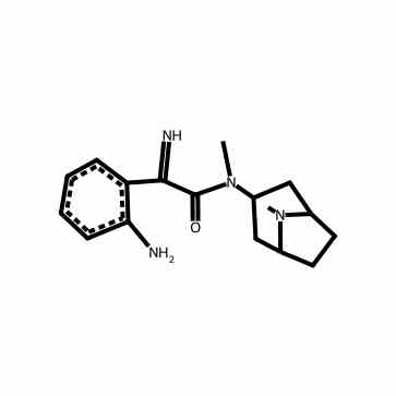 CN(C(=O)C(=N)c1ccccc1N)C1CC2CCC(C1)N2C